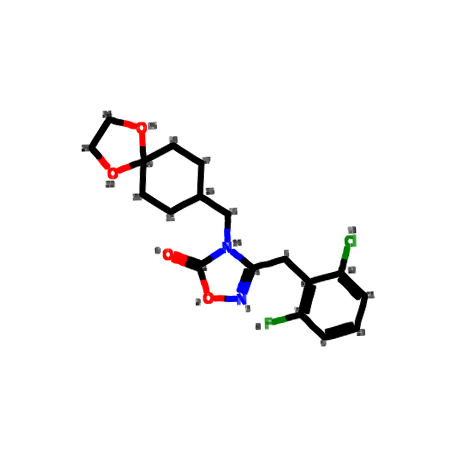 O=c1onc(Cc2c(F)cccc2Cl)n1CC1CCC2(CC1)OCCO2